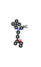 [C-]#[N+]c1ccc(N(c2ccc(-c3ccc(-c4cc5ccccc5c5c4oc4ccc6ccccc6c45)cc3)cc2)c2ccc3c(c2)C(c2ccccc2)(c2ccccc2)c2ccccc2-3)cc1